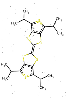 CC(C)c1sc(C(C)C)c2c1SC(=C1Sc3c(C(C)C)sc(C(C)C)c3S1)S2